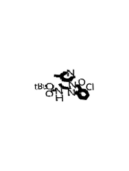 Cc1cncc(-n2c(C(C)NC(=O)OC(C)(C)C)nc3cccc(Cl)c3c2=O)c1